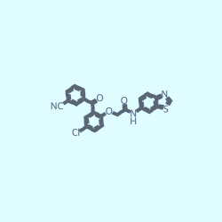 N#Cc1cccc(C(=O)c2cc(Cl)ccc2OCC(=O)Nc2ccc3ncsc3c2)c1